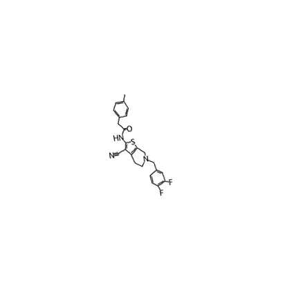 Cc1ccc(CC(=O)Nc2sc3c(c2C#N)CCN(Cc2ccc(F)c(F)c2)C3)cc1